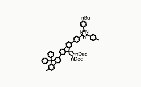 CCCCCCCCCCCCC1(CCCCCCCCCCCC)c2cc(-c3ccc(-c4nc(-c5ccc(C)cc5)nc(-c5ccc(CCCC)cc5)n4)cc3)ccc2-c2ccc(-c3ccc4c(c3)C(c3ccccc3)(c3ccccc3)c3cc(C)ccc3-4)cc21